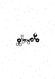 COC(=O)c1cccc(NC(=O)COCC(=O)N2CCN(C(c3ccccc3)c3ccccc3)CC2)c1